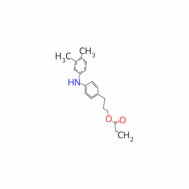 C=CC(=O)OCCCC1=C=C=C(Nc2ccc(C)c(C)c2)C=C1